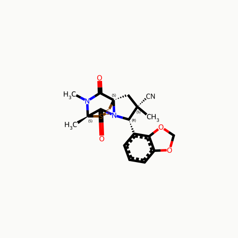 CN1C(=O)[C@@]23C[C@](C)(C#N)[C@H](c4cccc5c4OCO5)N2C(=O)[C@]1(C)SS3